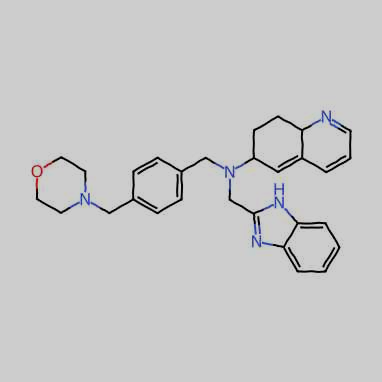 C1=CC2=CC(N(Cc3ccc(CN4CCOCC4)cc3)Cc3nc4ccccc4[nH]3)CCC2N=C1